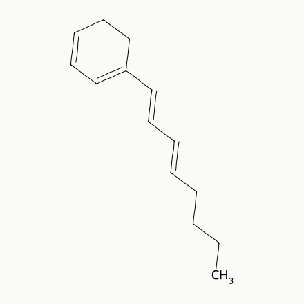 CCCCC=CC=CC1=CC=CCC1